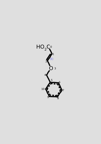 O=C(O)/C=C/OCc1ccccc1